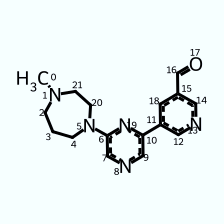 CN1CCCN(c2cncc(-c3cncc(C=O)c3)n2)CC1